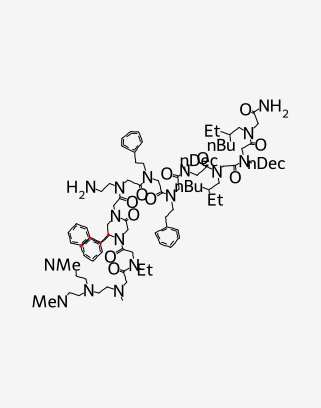 CCCCCCCCCCN(CC(=O)N(CC(=O)N(CCCCCCCCCC)CC(=O)N(CC(N)=O)CC(CC)CCCC)CC(CC)CCCC)C(=O)CN(CCc1ccccc1)C(=O)CN(CCc1ccccc1)C(=O)CN(CCN)C(=O)CN(CCc1ccccc1)C(=O)CN(CCc1ccccc1)C(=O)CN(CC)C(=O)CN(C)CCN(CCNC)CCNC